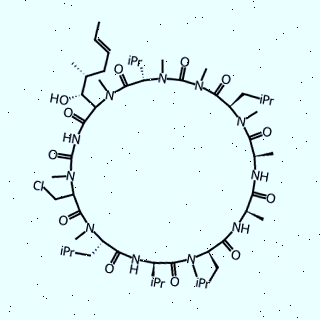 C/C=C/C[C@@H](C)[C@@H](O)C1C(=O)NC(=O)N(C)C(CCl)C(=O)N(C)[C@@H](CC(C)C)C(=O)N[C@H](C(C)C)C(=O)N(C)[C@H](CC(C)C)C(=O)N[C@H](C)C(=O)N[C@H](C)C(=O)N(C)[C@H](CC(C)C)C(=O)N(C)C(=O)N(C)[C@@H](C(C)C)C(=O)N1C